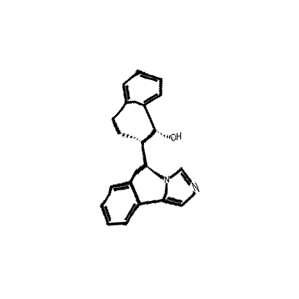 O[C@H]1c2ccccc2CC[C@H]1[C@@H]1c2ccccc2-c2cncn21